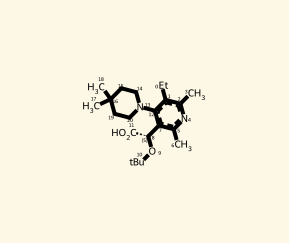 CCc1c(C)nc(C)c([C@H](OC(C)(C)C)C(=O)O)c1N1CCC(C)(C)CC1